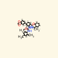 [CH2][C](NC(=O)c1ccc(-c2ccc3c(c2)OCO3)cc1NC(=O)Nc1c(C)cc(C)cc1C)C1CCCCC1